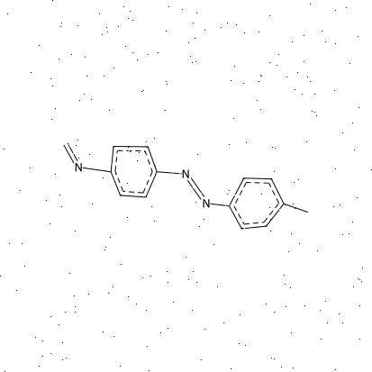 C=Nc1ccc(N=Nc2ccc(C)cc2)cc1